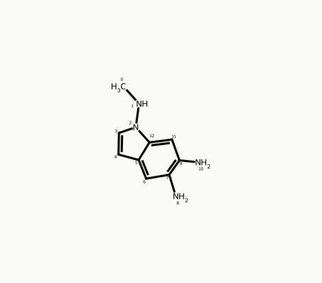 CNn1ccc2cc(N)c(N)cc21